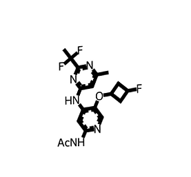 CC(=O)Nc1cc(Nc2cc(C)nc(C(C)(F)F)n2)c(OC2CC(F)C2)cn1